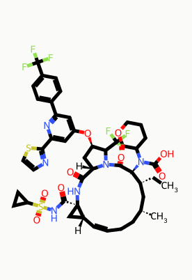 CC[C@@H]1C[C@H](C)CC/C=C\[C@@H]2C[C@@]2(C(=O)NS(=O)(=O)C2CC2)NC(=O)[C@@H]2C[C@@H](Oc3cc(-c4ccc(C(F)(F)F)cc4)nc(-c4nccs4)c3)C(C(F)(F)F)N2C(=O)[C@H]1N(C(=O)O)C1CCCOC1